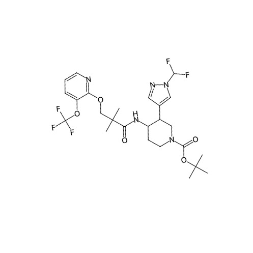 CC(C)(C)OC(=O)N1CCC(NC(=O)C(C)(C)COc2ncccc2OC(F)(F)F)C(c2cnn(C(F)F)c2)C1